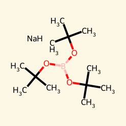 CC(C)(C)OB(OC(C)(C)C)OC(C)(C)C.[NaH]